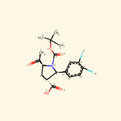 CC(=O)[C@@H]1C[C@@H](C(=O)O)[C@H](c2ccc(F)c(F)c2)N1C(=O)OC(C)(C)C